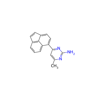 Cc1cc(-c2ccc3c4c(cccc24)C=C3)nc(N)n1